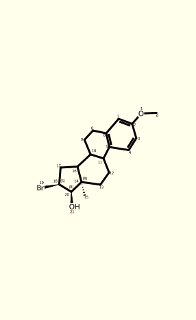 COc1ccc2c(c1)CCC1C2CC[C@]2(C)C1C[C@H](Br)[C@@H]2O